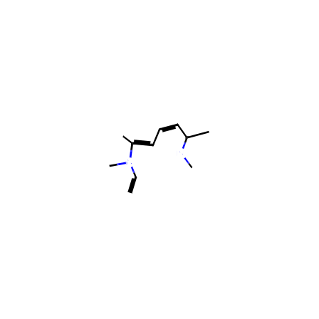 C=CN(C)/C(C)=C/C=C\C(C)NC